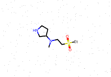 CCS(=O)(=O)CCN(C)C1CCNC1